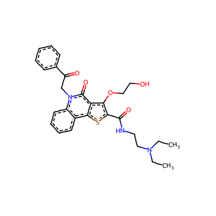 CCN(CC)CCNC(=O)c1sc2c(c1OCCO)c(=O)n(CC(=O)c1ccccc1)c1ccccc21